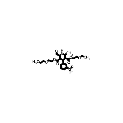 CCCOCCOC(=O)C1=C(C=O)NC(C)=C(C(=O)OCCOCC)C1c1cccc([N+](=O)[O-])c1